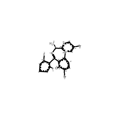 C[C@@H]1N=C(c2c(F)cccc2F)c2c(ccc(Br)c2Cl)-[n+]2cc(Br)cnc21